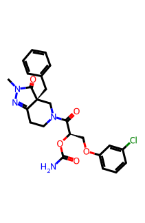 CN1N=C2CCN(C(=O)[C@@H](COc3cccc(Cl)c3)OC(N)=O)C[C@@]2(Cc2ccccc2)C1=O